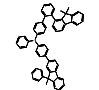 CC1(C)c2ccccc2-c2cccc(-c3ccccc3-c3ccc(N(c4ccccc4)c4ccc(-c5ccc6c(c5)C(C)(c5ccccc5)c5ccccc5-6)cc4)cc3)c21